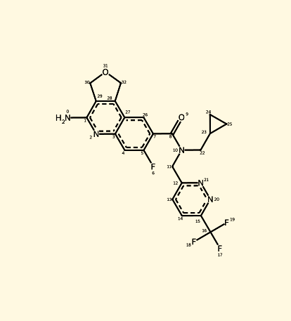 Nc1nc2cc(F)c(C(=O)N(Cc3ccc(C(F)(F)F)nn3)CC3CC3)cc2c2c1COC2